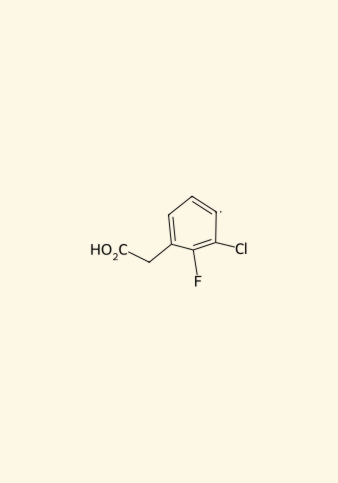 O=C(O)Cc1cc[c]c(Cl)c1F